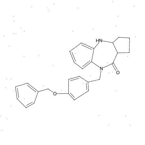 O=C1C2CCCC2Nc2ccccc2N1Cc1ccc(OCc2ccccc2)cc1